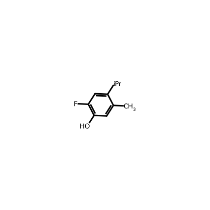 Cc1cc(O)c(F)cc1C(C)C